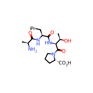 CC(C)C[C@H](NC(=O)[C@H](C)N)C(=O)N[C@H](C(=O)N1CCC[C@H]1C(=O)O)[C@@H](C)O